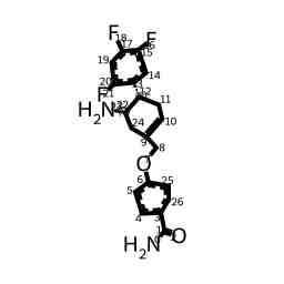 NC(=O)c1ccc(OCC2=CC[C@@H](c3cc(F)c(F)cc3F)[C@H](N)C2)cc1